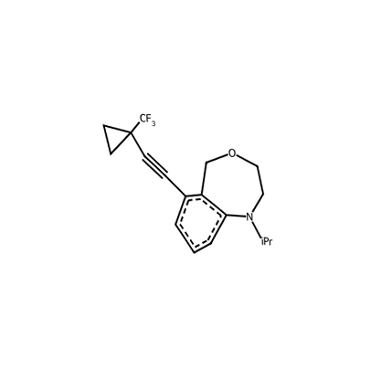 CC(C)N1CCOCc2c(C#CC3(C(F)(F)F)CC3)cccc21